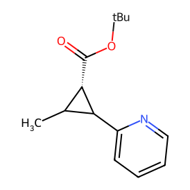 CC1C(c2ccccn2)[C@H]1C(=O)OC(C)(C)C